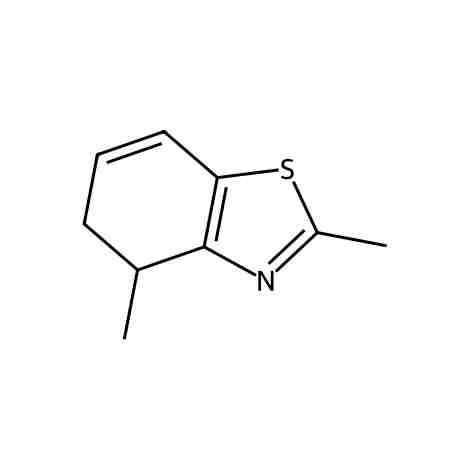 Cc1nc2c(s1)C=CCC2C